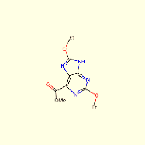 CCOc1nc(C(=O)OC)c2nc(OCC)[nH]c2n1